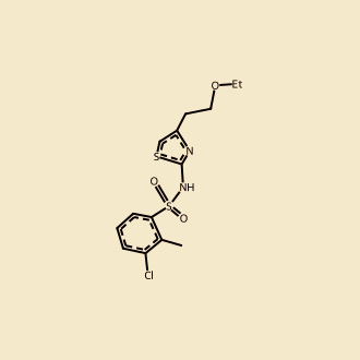 CCOCCc1csc(NS(=O)(=O)c2cccc(Cl)c2C)n1